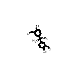 CC(C)(c1ccc(O)c(CCl)c1)c1ccc(O)c(CCl)c1